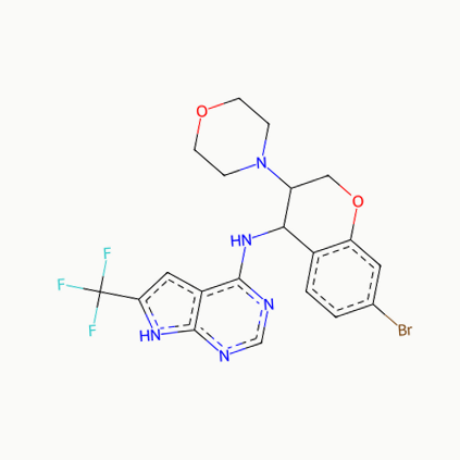 FC(F)(F)c1cc2c(NC3c4ccc(Br)cc4OCC3N3CCOCC3)ncnc2[nH]1